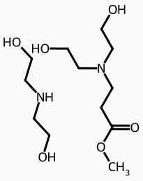 COC(=O)CCN(CCO)CCO.OCCNCCO